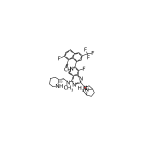 C#Cc1c(F)ccc2cc(C(F)(F)F)cc(-c3ncc4c(N(C)C[C@@H]5CCCCN5)nc(N5CC6CCC(C5)N6C)nc4c3F)c12